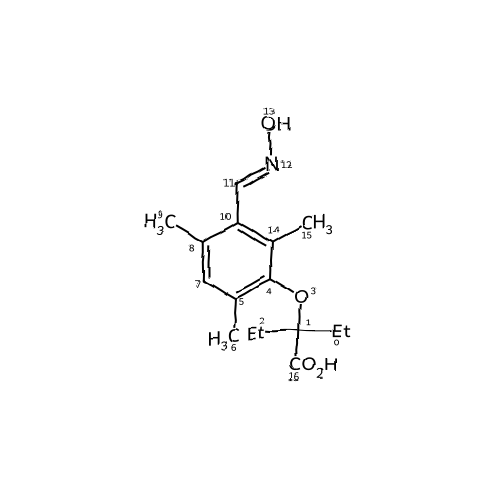 CCC(CC)(Oc1c(C)cc(C)c(C=NO)c1C)C(=O)O